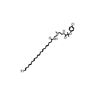 CCC=CCC=CCC=CCC=CCC=CCC=CCCC(=O)NCCN(C)CCNC(=O)C(C)(C)Oc1ccc(Cl)cc1